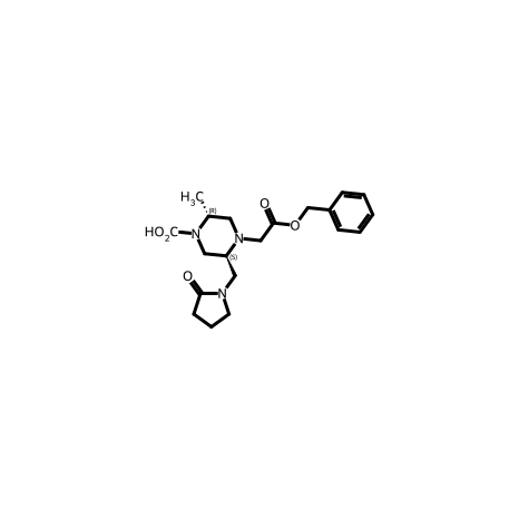 C[C@@H]1CN(CC(=O)OCc2ccccc2)[C@@H](CN2CCCC2=O)CN1C(=O)O